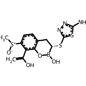 C=C(O)c1c([S+](C)[O-])ccc2c1OB(O)[C@@H](Sc1nnc(N)s1)C2